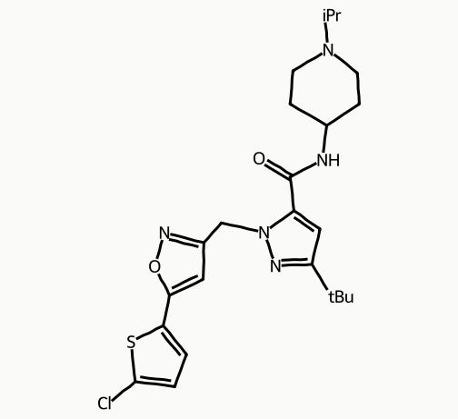 CC(C)N1CCC(NC(=O)c2cc(C(C)(C)C)nn2Cc2cc(-c3ccc(Cl)s3)on2)CC1